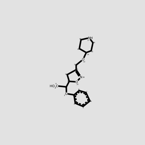 O=C(O)C(Oc1ccccc1)C1CC(COC2CCNCC2)=NO1